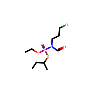 CCOP(=S)(SC(C)CC)N(C=O)CCCCl